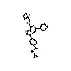 O=C(NC1CC1)c1ccc(-c2cnc3c(NCc4ccco4)nc(-c4ccncc4)cn23)cc1